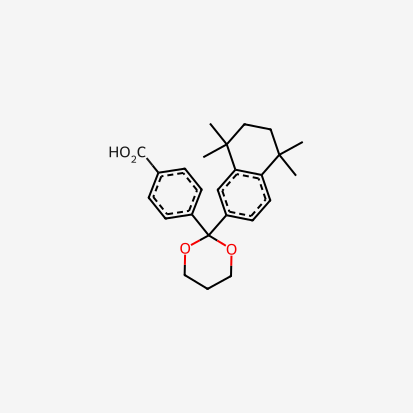 CC1(C)CCC(C)(C)c2cc(C3(c4ccc(C(=O)O)cc4)OCCCO3)ccc21